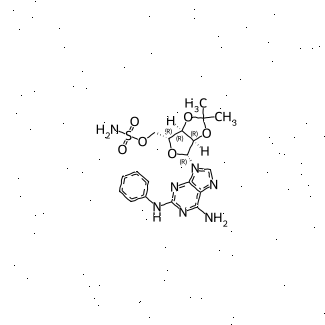 CC1(C)O[C@@H]2[C@H](O1)[C@@H](COS(N)(=O)=O)O[C@H]2n1cnc2c(N)nc(Nc3ccccc3)nc21